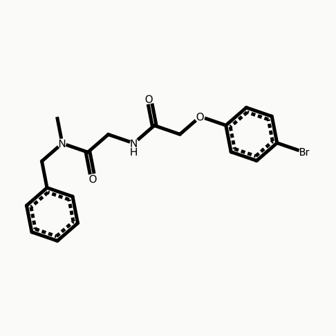 CN(Cc1ccccc1)C(=O)CNC(=O)COc1ccc(Br)cc1